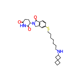 O=C1CCC(N2Cc3cc(SCCCCCCCNC4CC5(CCC5)C4)ccc3C2=O)C(=O)N1